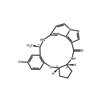 C[C@H]1Nc2ccn3ncc(c3n2)C(=O)N[C@@H]2CCC[C@@H]2Oc2ccc(F)cc21